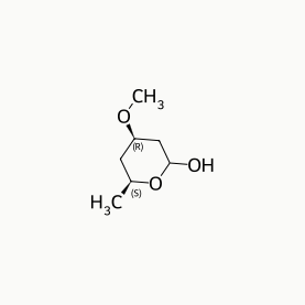 CO[C@H]1CC(O)O[C@@H](C)C1